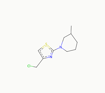 CC1CCCN(c2nc(CCl)cs2)C1